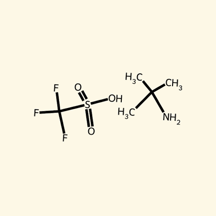 CC(C)(C)N.O=S(=O)(O)C(F)(F)F